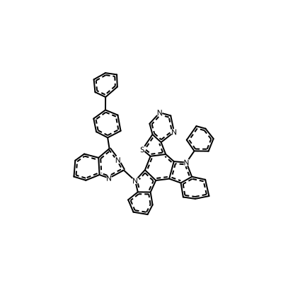 c1ccc(-c2ccc(-c3nc(-n4c5ccccc5c5c6c7ccccc7n(-c7ccccc7)c6c6c7ncncc7sc6c54)nc4ccccc34)cc2)cc1